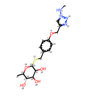 CNn1cc(COc2ccc(CS[C@@H]3OC(C)[C@@H](O)C(O)C3O)cc2)nn1